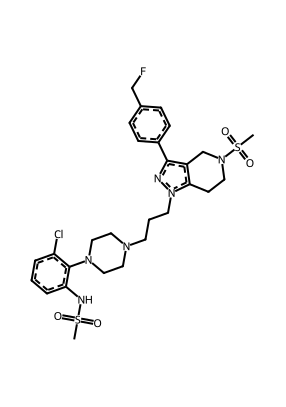 CS(=O)(=O)Nc1cccc(Cl)c1N1CCN(CCCn2nc(-c3ccc(CF)cc3)c3c2CCN(S(C)(=O)=O)C3)CC1